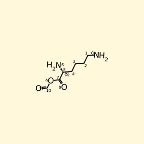 NCCCC[C@H](N)C(=O)OC=O